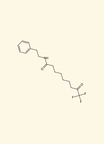 O=C(CCCCCCC(=O)C(F)(F)F)NCCc1ccccc1